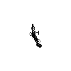 CCCCOCCCNC(=O)c1ccc(N2CCN(C(=O)Cc3ccc4ccccc4c3)CC2)nc1